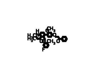 COc1cc(OCCC(=O)c2ccccc2)ccc1-c1ccc2c(c1COc1cc(F)ccc1C)C(C)=CC(C)(C)N2